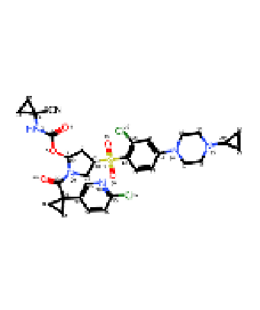 N#CC1(NC(=O)O[C@H]2C[C@@H](S(=O)(=O)c3ccc(N4CCN(C5CC5)CC4)cc3Cl)CN2C(=O)C2(c3ccc(Cl)nc3)CC2)CC1